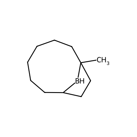 CC12BC(CCCCCC1)CC2